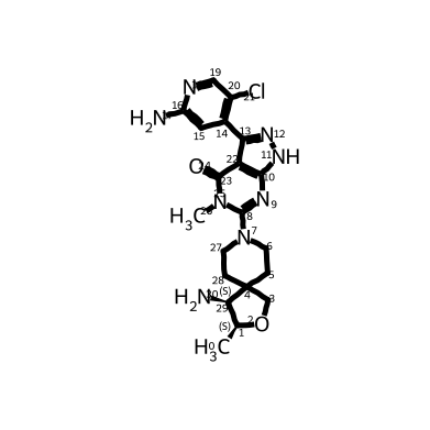 C[C@@H]1OCC2(CCN(c3nc4[nH]nc(-c5cc(N)ncc5Cl)c4c(=O)n3C)CC2)[C@@H]1N